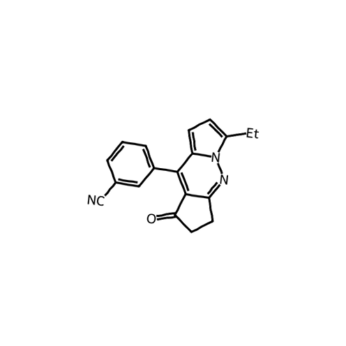 CCc1ccc2c(-c3cccc(C#N)c3)c3c(nn12)CCC3=O